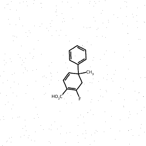 CC1(c2ccccc2)C=CC(C(=O)O)=C(F)C1